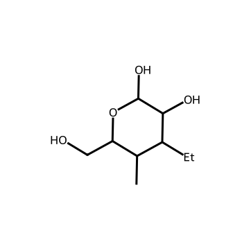 CCC1C(C)C(CO)OC(O)C1O